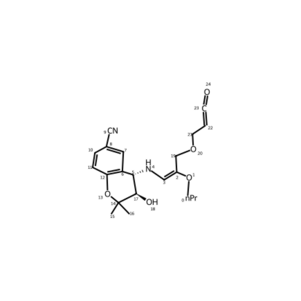 CCCO/C(=C/N[C@H]1c2cc(C#N)ccc2OC(C)(C)[C@@H]1O)COCC=C=O